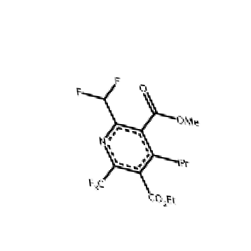 CCOC(=O)c1c(C(F)(F)F)nc(C(F)F)c(C(=O)OC)c1C(C)C